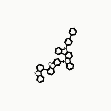 c1ccc(-c2ccc(-n3c4ccccc4c4c3ccc3c5ccccc5n(-c5ccc6oc7c(-c8cccc9sc%10ccccc%10c89)cccc7c6c5)c34)cc2)cc1